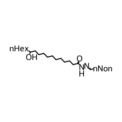 CCCCCCCCCC=NNC(=O)CCCCCCCCCCC(O)CCCCCC